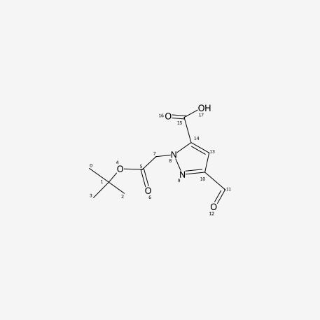 CC(C)(C)OC(=O)Cn1nc(C=O)cc1C(=O)O